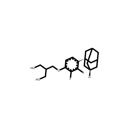 OCC(CO)COc1ccc([C@]23CC4CC(C[C@H](C4)C2)C3)c(F)c1F